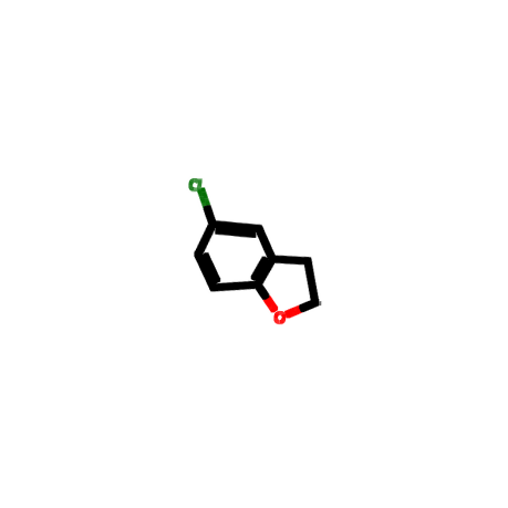 Clc1ccc2c(c1)C[CH]O2